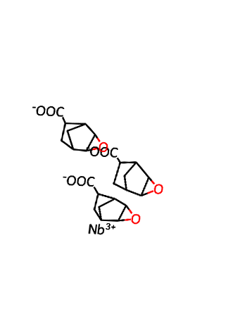 O=C([O-])C1CC2CC1C1OC21.O=C([O-])C1CC2CC1C1OC21.O=C([O-])C1CC2CC1C1OC21.[Nb+3]